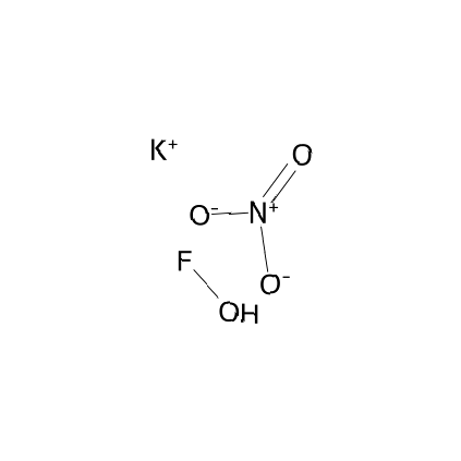 O=[N+]([O-])[O-].OF.[K+]